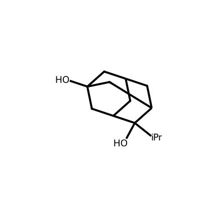 CC(C)C1(O)C2CC3CC1CC(O)(C3)C2